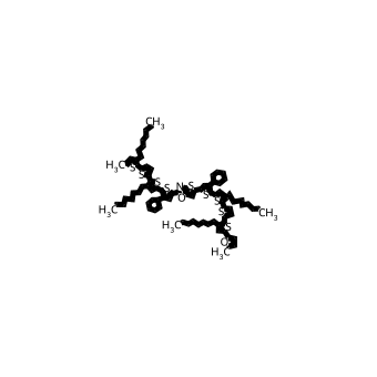 CCCCCCCCc1cc(C)sc1-c1ccc(-c2sc(-c3sc(-c4nc5sc(-c6cc(C7CCCCC7)c(-c7cc(CCCCCCCC)c(-c8ccc(-c9sc(-c%10ccc(C)o%10)cc9CCCCCCCC)s8)s7)s6)cc5o4)cc3C3CCCCC3)cc2CCCCCCCC)s1